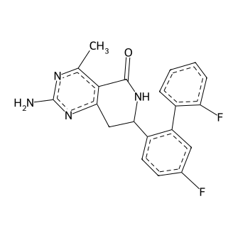 Cc1nc(N)nc2c1C(=O)NC(c1ccc(F)cc1-c1ccccc1F)C2